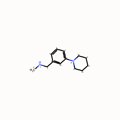 CNCc1cccc(N2CCCCC2)c1